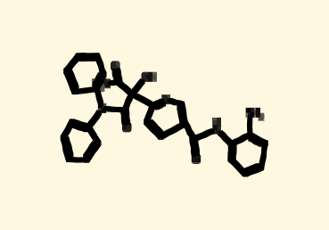 NC(=O)C(O)(C(=O)N(c1ccccc1)c1ccccc1)c1ccc(C(=O)Nc2ccccc2N)cn1